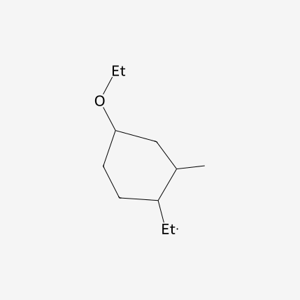 C[CH]C1CCC(OCC)CC1C